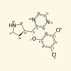 Clc1cc(Cl)cc(O[C@@H](c2cnccn2)[C@H]2CCNC2)c1